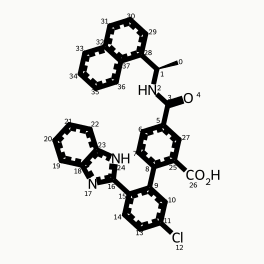 C[C@@H](NC(=O)c1ccc(-c2cc(Cl)ccc2-c2nc3ccccc3[nH]2)c(C(=O)O)c1)c1cccc2ccccc12